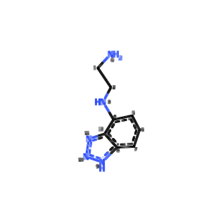 NCCNc1cccc2[nH]nnc12